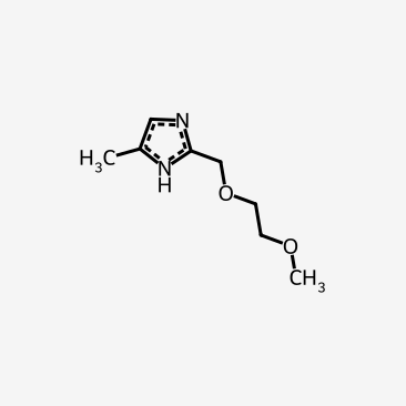 COCCOCc1ncc(C)[nH]1